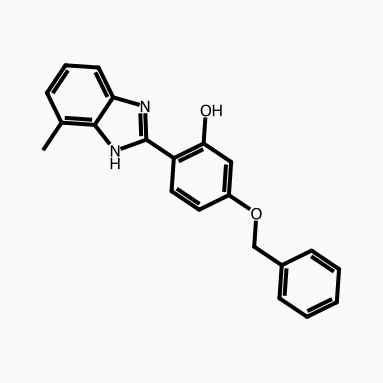 Cc1cccc2nc(-c3ccc(OCc4ccccc4)cc3O)[nH]c12